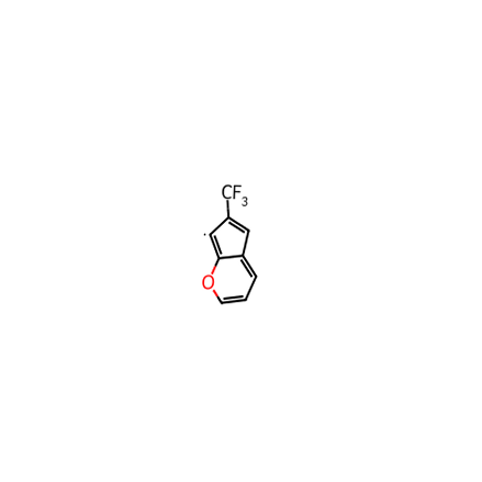 FC(F)(F)c1[c]c2occcc-2c1